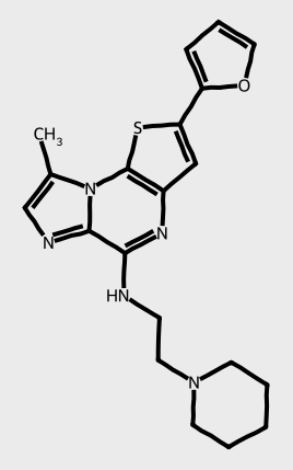 Cc1cnc2c(NCCN3CCCCC3)nc3cc(-c4ccco4)sc3n12